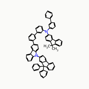 CC1(C)c2ccccc2-c2cc(N(c3cccc(-c4ccccc4)c3)c3cccc(-c4cccc(-c5ccc6c(c5)c5ccccc5n6-c5ccc6c(c5)C(c5ccccc5)(c5ccccc5)c5ccccc5-6)c4)c3)ccc21